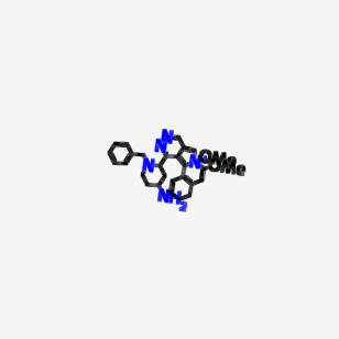 COC1=CC2=C(C=CCC2)C2=c3c(C4CC(N)CCN4Cc4ccccc4)nncc3=C[N+]12OC